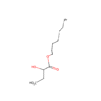 CC(C)CCCCCOC(=O)C(O)CC(=O)O